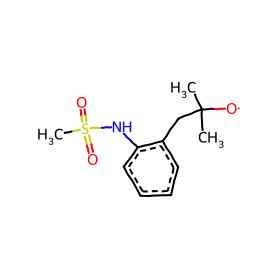 CC(C)([O])Cc1ccccc1NS(C)(=O)=O